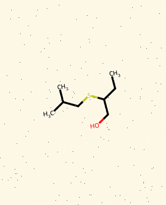 CCC(CO)SCC(C)C